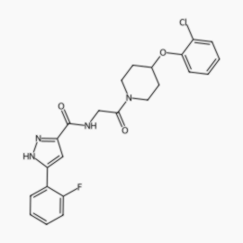 O=C(NCC(=O)N1CCC(Oc2ccccc2Cl)CC1)c1cc(-c2ccccc2F)[nH]n1